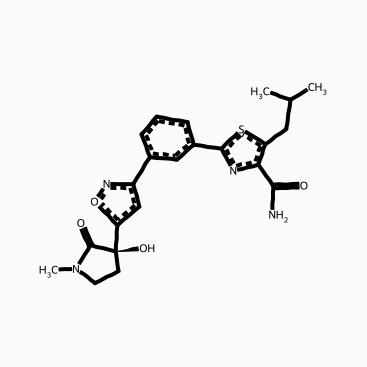 CC(C)Cc1sc(-c2cccc(-c3cc([C@]4(O)CCN(C)C4=O)on3)c2)nc1C(N)=O